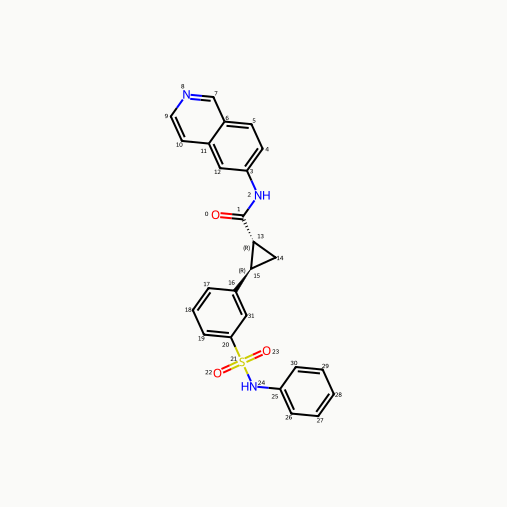 O=C(Nc1ccc2cnccc2c1)[C@@H]1C[C@H]1c1cccc(S(=O)(=O)Nc2ccccc2)c1